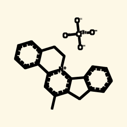 Cc1cc2[n+](c3c1Cc1ccccc1-3)CCc1ccccc1-2.[O-][Cl+3]([O-])([O-])[O-]